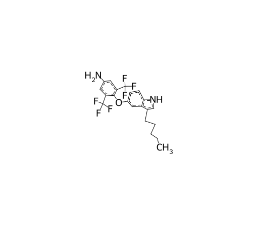 CCCCCc1c[nH]c2ccc(Oc3c(C(F)(F)F)cc(N)cc3C(F)(F)F)cc12